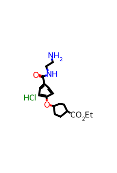 CCOC(=O)C1CCC(Oc2ccc(C(=O)NCCN)cc2)CC1.Cl